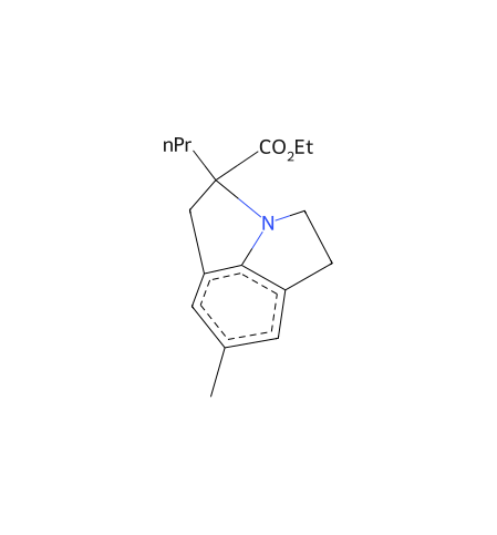 CCCC1(C(=O)OCC)Cc2cc(C)cc3c2N1CC3